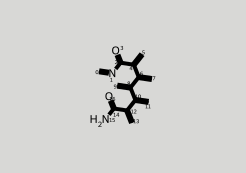 C=NC(=O)C(=C)C(=C)C(=C)C(=C)C(=C)C(N)=O